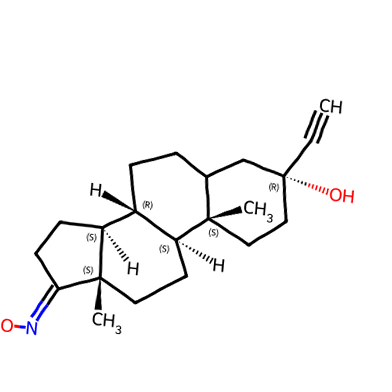 C#C[C@@]1(O)CC[C@@]2(C)C(CC[C@@H]3[C@@H]2CC[C@]2(C)C(=NO)CC[C@@H]32)C1